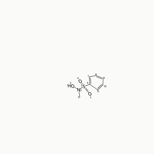 CN(O)S(=O)(=O)c1ccccc1